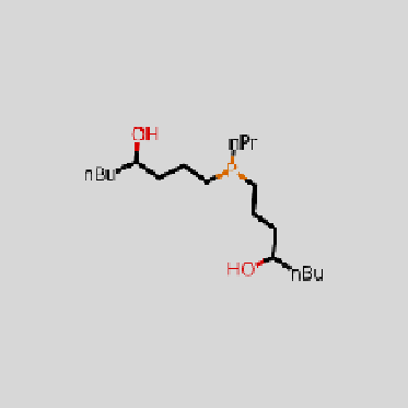 CCCCC(O)CCCP(CCC)CCCC(O)CCCC